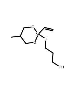 C=C[Si]1(OCCCO)OCC(C)CO1